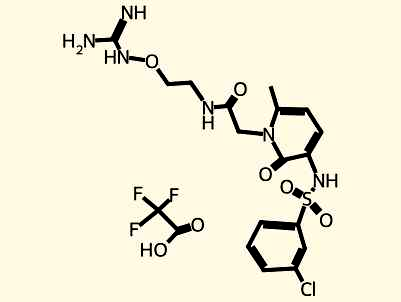 Cc1ccc(NS(=O)(=O)c2cccc(Cl)c2)c(=O)n1CC(=O)NCCONC(=N)N.O=C(O)C(F)(F)F